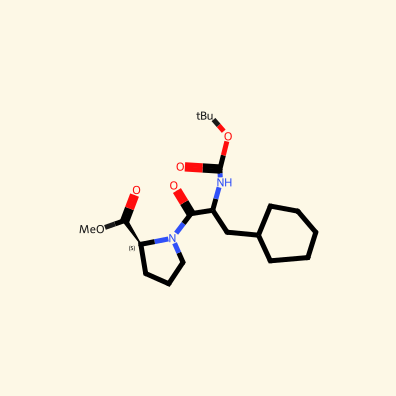 COC(=O)[C@@H]1CCCN1C(=O)C(CC1CCCCC1)NC(=O)OC(C)(C)C